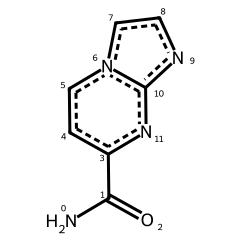 NC(=O)c1ccn2ccnc2n1